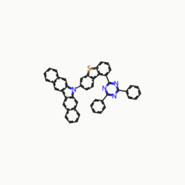 c1ccc(-c2nc(-c3ccccc3)nc(-c3cccc4sc5cc(-n6c7cc8ccccc8cc7c7cc8ccccc8cc76)ccc5c34)n2)cc1